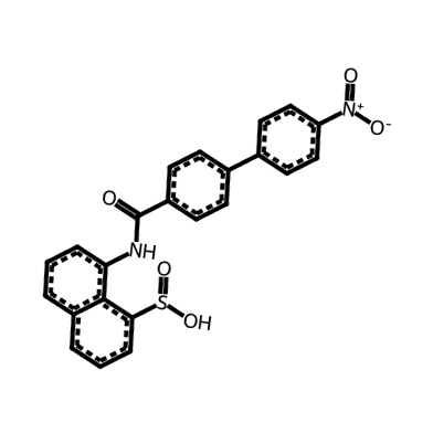 O=C(Nc1cccc2cccc(S(=O)O)c12)c1ccc(-c2ccc([N+](=O)[O-])cc2)cc1